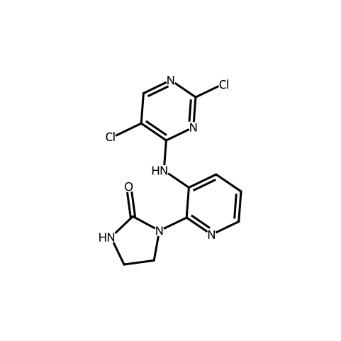 O=C1NCCN1c1ncccc1Nc1nc(Cl)ncc1Cl